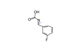 O=C(O)/N=C/c1cccc(F)c1